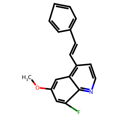 COc1cc(F)c2nccc(C=Cc3ccccc3)c2c1